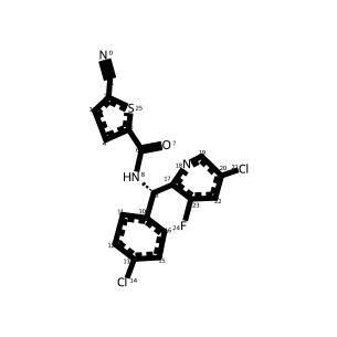 N#Cc1ccc(C(=O)N[C@@H](c2ccc(Cl)cc2)c2ncc(Cl)cc2F)s1